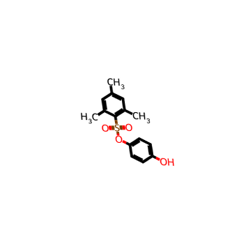 Cc1cc(C)c(S(=O)(=O)Oc2ccc(O)cc2)c(C)c1